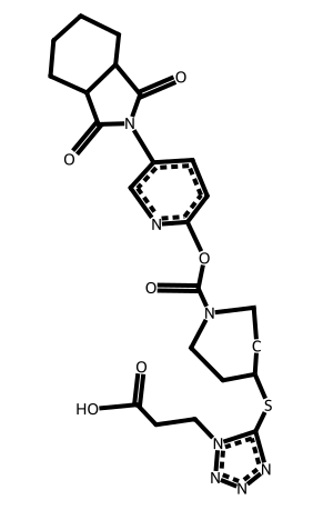 O=C(O)CCn1nnnc1SC1CCN(C(=O)Oc2ccc(N3C(=O)C4CCCCC4C3=O)cn2)CC1